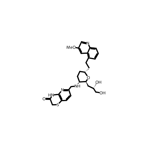 COc1cnc2cccc(CC[C@H]3CC[C@@H](NCc4ccc5c(n4)NC(=O)CS5)[C@H](C[C@H](O)CO)O3)c2c1